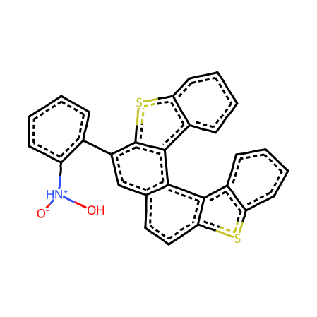 [O-][NH+](O)c1ccccc1-c1cc2ccc3sc4ccccc4c3c2c2c1sc1ccccc12